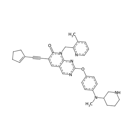 Cc1cccnc1Cn1c(=O)c(C#CC2=CCCC2)cc2cnc(Oc3ccc(N(C)C4CCCNC4)cc3)nc21